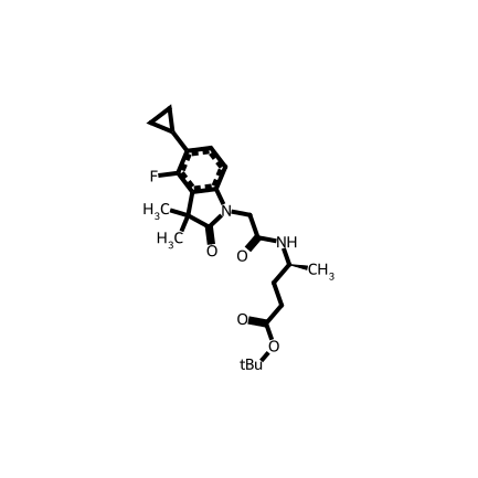 C[C@@H](CCC(=O)OC(C)(C)C)NC(=O)CN1C(=O)C(C)(C)c2c1ccc(C1CC1)c2F